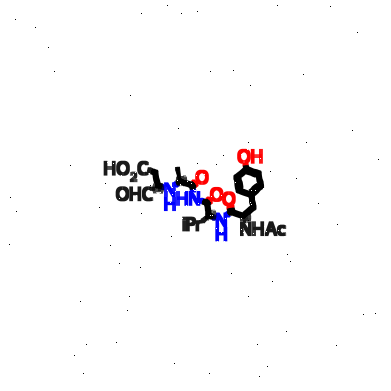 CC(=O)N[C@@H](Cc1ccc(O)cc1)C(=O)N[C@H](C(=O)NC(=O)[C@H](C)N[C@H](C=O)CC(=O)O)C(C)C